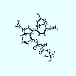 Cc1cn2c(-c3cn(C4CC4)c4ncnc(OC(=O)NC(=O)OC(C)(C)C)c34)ccc(N)c2n1